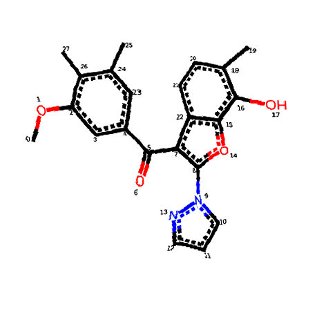 COc1cc(C(=O)c2c(-n3cccn3)oc3c(O)c(C)ccc23)cc(C)c1C